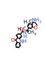 CC1(N)CCOc2cc(C(C)(C)NC(=O)c3ccc4c(=O)c5ccccc5[nH]c4c3)ccc21